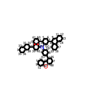 c1ccc(-c2ccc(-c3cc4ccccc4c4ccccc34)cc2N(c2ccc(-c3ccc4ccccc4c3)cc2)c2ccc(-c3cccc4oc5ccccc5c34)cc2)cc1